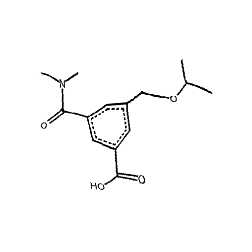 CC(C)OCc1cc(C(=O)O)cc(C(=O)N(C)C)c1